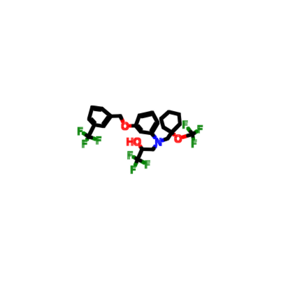 OC(CN(CC1(OC(F)(F)F)CCCCC1)c1cccc(OCc2cccc(C(F)(F)F)c2)c1)C(F)(F)F